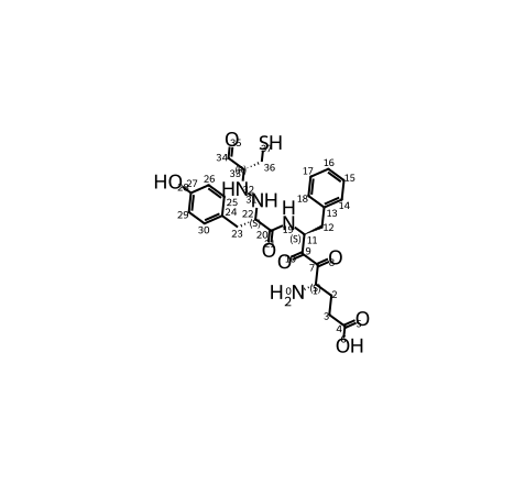 N[C@@H](CCC(=O)O)C(=O)C(=O)[C@H](Cc1ccccc1)NC(=O)[C@H](Cc1ccc(O)cc1)NN[C@H](C=O)CS